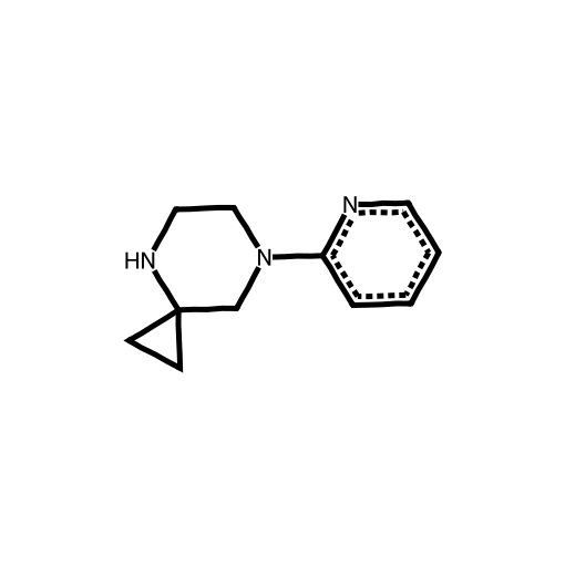 c1ccc(N2CCNC3(CC3)C2)nc1